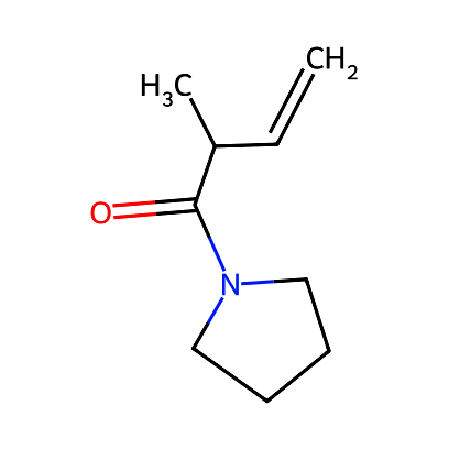 C=CC(C)C(=O)N1CCCC1